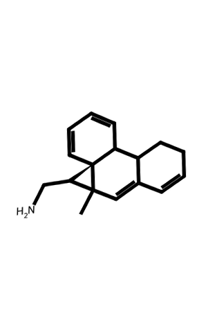 CC12C=C3C=CCCC3C3C=CC=C[C@]31C2CN